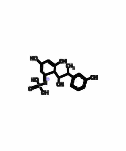 CC(c1cccc(O)c1)C(O)C1C(O)=CC(O)=C/C1=N\P(=O)(O)O